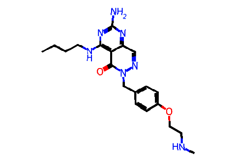 CCCCNc1nc(N)nc2cnn(Cc3ccc(OCCNC)cc3)c(=O)c12